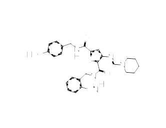 Cc1ccc(CNC(=O)c2cc(/N=C/N3CCCCC3)c(C(=O)N(C)Cc3ccccc3C#N)s2)cc1